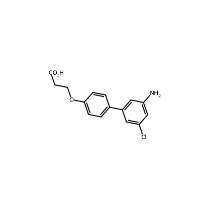 Nc1cc(Cl)cc(-c2ccc(OCCC(=O)O)cc2)c1